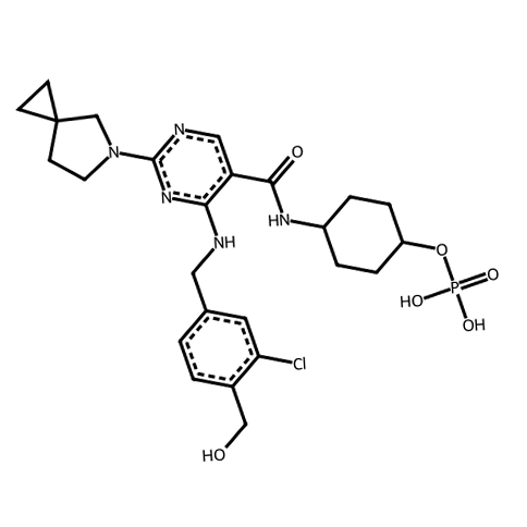 O=C(NC1CCC(OP(=O)(O)O)CC1)c1cnc(N2CCC3(CC3)C2)nc1NCc1ccc(CO)c(Cl)c1